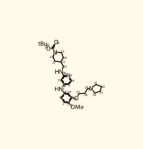 COc1ccc(Nc2ccnc(NCC3CCN(C(=O)OC(C)(C)C)CC3)c2)cc1OCCCN1CCCC1